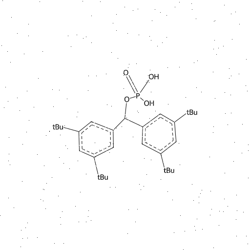 CC(C)(C)c1cc(C(OP(=O)(O)O)c2cc(C(C)(C)C)cc(C(C)(C)C)c2)cc(C(C)(C)C)c1